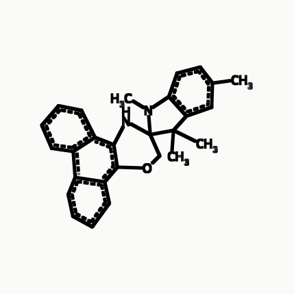 Cc1ccc2c(c1)C(C)(C)C1(COc3c(c4ccccc4c4ccccc34)N1)N2C